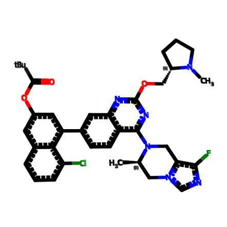 C[C@@H]1Cn2cnc(F)c2CN1c1nc(OC[C@@H]2CCCN2C)nc2cc(-c3cc(OC(=O)C(C)(C)C)cc4cccc(Cl)c34)ccc12